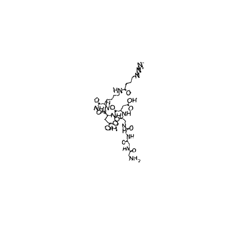 [N-]=[N+]=NCCCC(=O)NCCCCC(NC(=O)C(CC(=O)O)NC(=O)C(CC(=O)O)NC(=O)CNC(=O)CNC(=O)CNC(=O)CN)C(N)=O